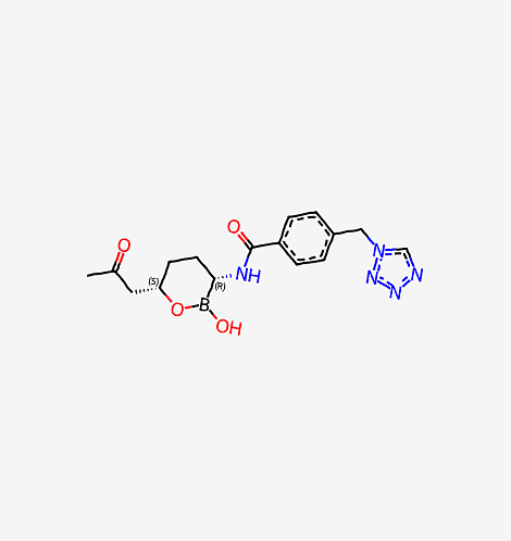 CC(=O)C[C@@H]1CC[C@H](NC(=O)c2ccc(Cn3cnnn3)cc2)B(O)O1